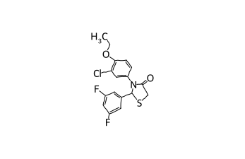 CCOc1ccc(N2C(=O)CSC2c2cc(F)cc(F)c2)cc1Cl